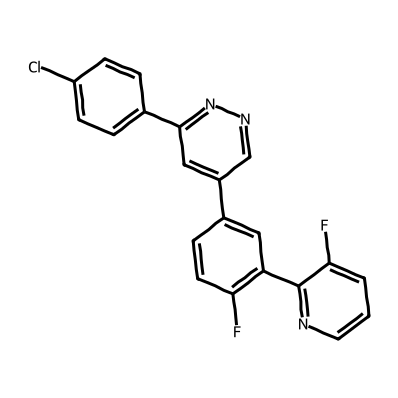 Fc1ccc(-c2cnnc(-c3ccc(Cl)cc3)c2)cc1-c1ncccc1F